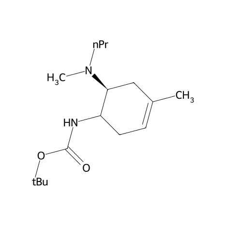 CCCN(C)[C@H]1CC(C)=CCC1NC(=O)OC(C)(C)C